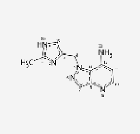 Cc1nc(Cn2ncc3nccc(N)c32)c[nH]1